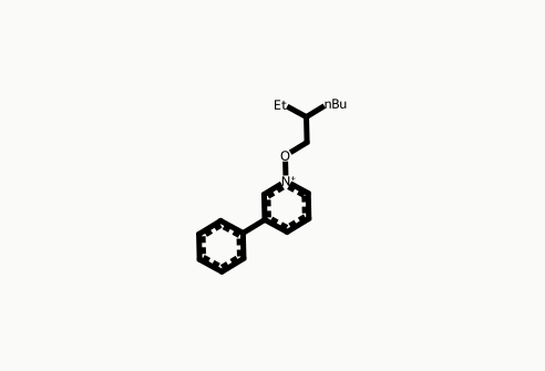 CCCCC(CC)CO[n+]1cccc(-c2ccccc2)c1